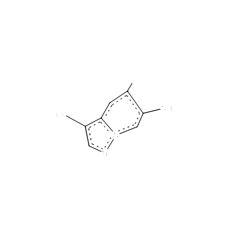 CC(C)c1cnn2cc(N)c(Cl)cc12